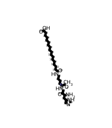 CC(=O)/C(=C\CCCNC(=O)CCCCCCCCCCCCCCCCC(=O)O)NCC(=O)C(N)Cc1cnc[nH]1